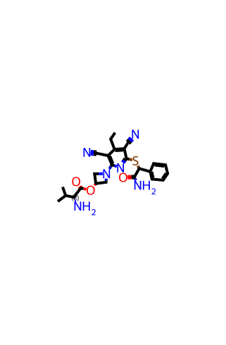 CCc1c(C#N)c(SC(C(N)=O)c2ccccc2)nc(N2CC(OC(=O)[C@H](N)C(C)C)C2)c1C#N